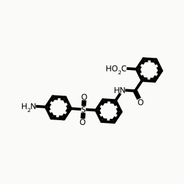 Nc1ccc(S(=O)(=O)c2cccc(NC(=O)c3ccccc3C(=O)O)c2)cc1